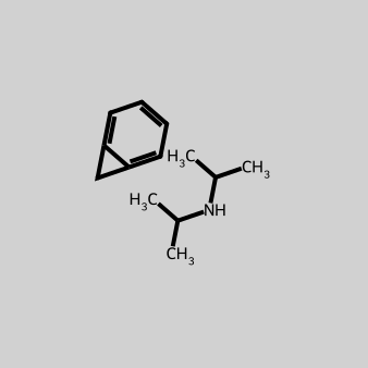 CC(C)NC(C)C.c1ccc2c(c1)C2